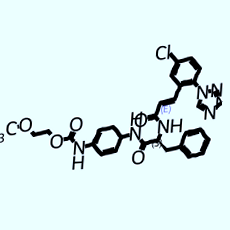 COCCOC(=O)NC1=CCC(NC(=O)[C@H](Cc2ccccc2)NC(=O)/C=C/c2cc(Cl)ccc2-n2cnnn2)C=C1